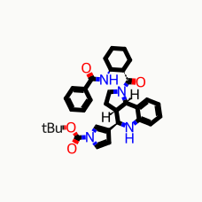 CC(C)(C)OC(=O)n1ccc([C@@H]2Nc3ccccc3[C@H]3[C@@H]2CCN3C(=O)[C@H]2CCCC[C@H]2NC(=O)c2ccccc2)c1